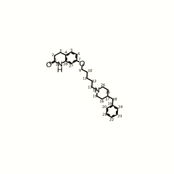 O=C1CCc2ccc(OCCCCCN3CCC(Cc4ccccc4)CC3)cc2N1